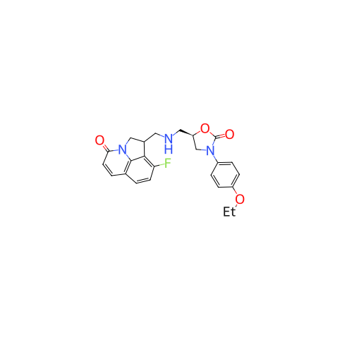 CCOc1ccc(N2C[C@@H](CNCC3Cn4c(=O)ccc5ccc(F)c3c54)OC2=O)cc1